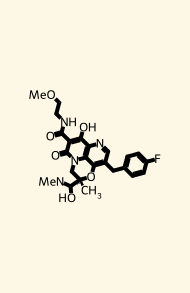 CNC(O)[C@]1(C)Cn2c(=O)c(C(=O)NCCOC)c(O)c3ncc(Cc4ccc(F)cc4)c(c32)O1